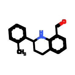 Cc1ccccc1C1CCc2cccc(C=O)c2N1